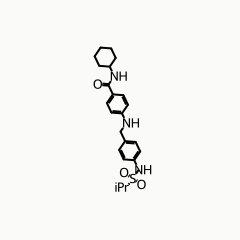 CC(C)S(=O)(=O)Nc1ccc(CNc2ccc(C(=O)NC3CCCCC3)cc2)cc1